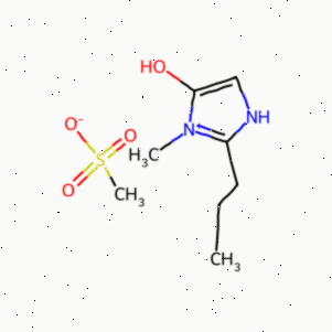 CCCc1[nH]cc(O)[n+]1C.CS(=O)(=O)[O-]